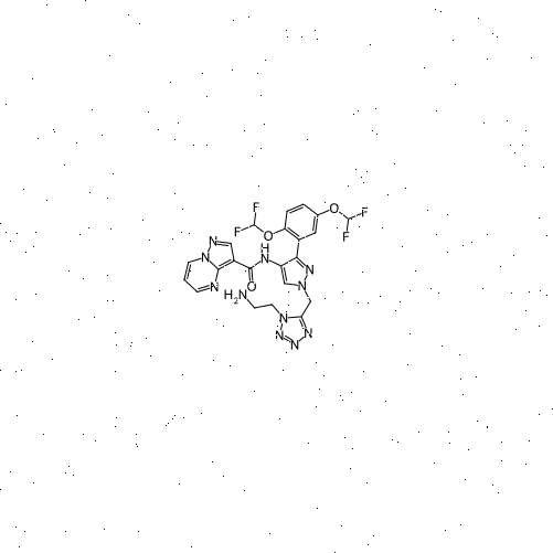 NCCn1nnnc1Cn1cc(NC(=O)c2cnn3cccnc23)c(-c2cc(OC(F)F)ccc2OC(F)F)n1